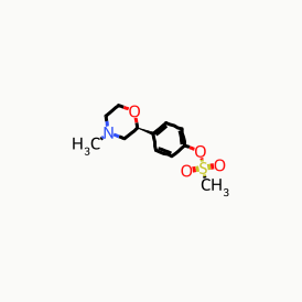 CN1CCO[C@@H](c2ccc(OS(C)(=O)=O)cc2)C1